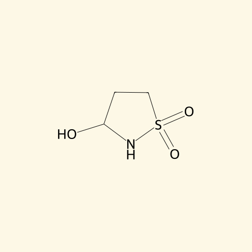 O=S1(=O)CCC(O)N1